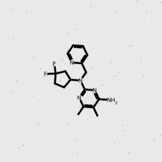 Cc1nc(N(Cc2ccccn2)C2CCC(F)(F)C2)nc(N)c1C